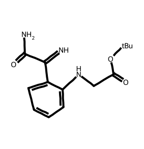 CC(C)(C)OC(=O)CNc1ccccc1C(=N)C(N)=O